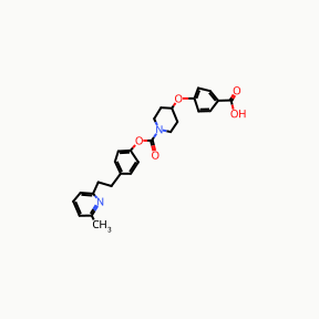 Cc1cccc(CCc2ccc(OC(=O)N3CCC(Oc4ccc(C(=O)O)cc4)CC3)cc2)n1